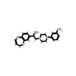 Cc1cccc(N2CCN(CC(O)c3ccc4c(c3)OCC=CO4)CC2)c1